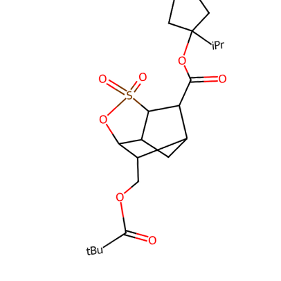 CC(C)C1(OC(=O)C2C3CC4C(OS(=O)(=O)C42)C3COC(=O)C(C)(C)C)CCCC1